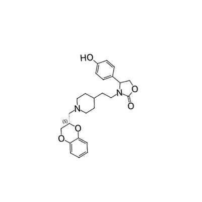 O=C1OCC(c2ccc(O)cc2)N1CCC1CCN(C[C@H]2COc3ccccc3O2)CC1